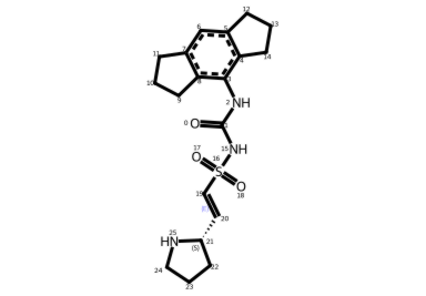 O=C(Nc1c2c(cc3c1CCC3)CCC2)NS(=O)(=O)/C=C/[C@@H]1CCCN1